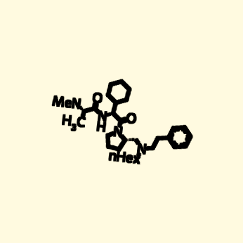 CCCCCCN(CCc1ccccc1)C[C@@H]1CCCN1C(=O)[C@@H](NC(=O)[C@H](C)NC)C1CCCCC1